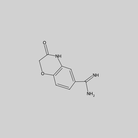 N=C(N)c1ccc2c(c1)NC(=O)CO2